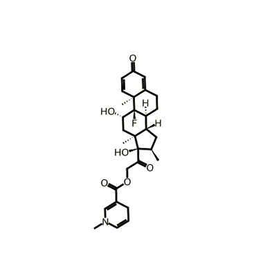 C[C@@H]1C[C@H]2[C@@H]3CCC4=CC(=O)C=C[C@]4(C)[C@@]3(F)[C@@H](O)C[C@]2(C)[C@@]1(O)C(=O)COC(=O)C1=CN(C)C=CC1